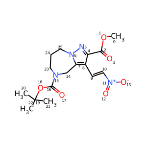 COC(=O)c1nn2c(c1C=C[N+](=O)[O-])CN(C(=O)OC(C)(C)C)CCC2